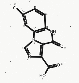 O=C(O)c1ncn2c1c(=O)[nH]c1ccc(Cl)cc12